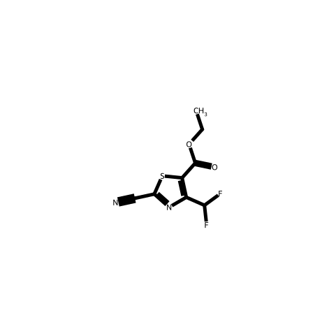 CCOC(=O)c1sc(C#N)nc1C(F)F